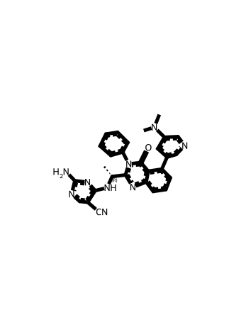 C[C@@H](Nc1nc(N)ncc1C#N)c1nc2cccc(-c3cncc(N(C)C)c3)c2c(=O)n1-c1ccccc1